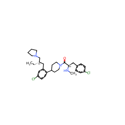 CC[C@@H](Cc1cc(Cl)ccc1C1CCN(C(=O)[C@@H](Cc2ccc(Cl)cc2)NC)CC1)CN1CCCC1